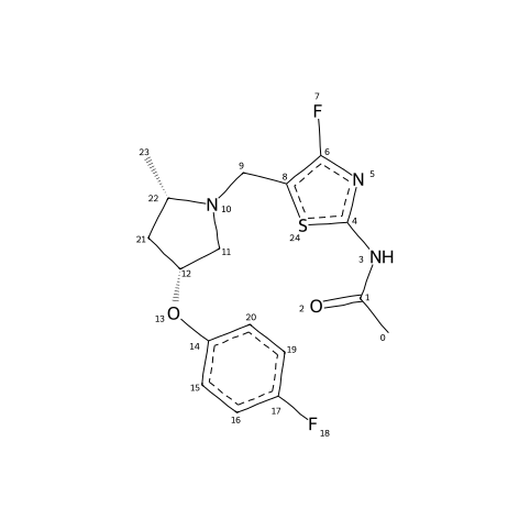 CC(=O)Nc1nc(F)c(CN2C[C@H](Oc3ccc(F)cc3)C[C@@H]2C)s1